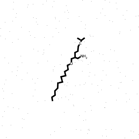 CCCCCCCCCCCCOCC(CN)CCCCC(C)C